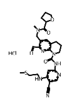 CSCCNc1cc(NC(=O)N2CCCc3cc(CN(C)C(=O)C4CCCO4)c(C=O)nc32)ncc1C#N.Cl